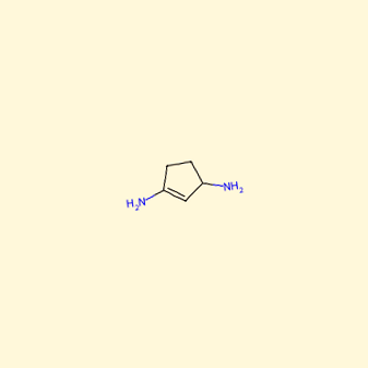 NC1=CC(N)CC1